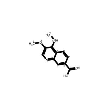 CNc1c(OC)cnc2cc(C(=O)O)ccc12